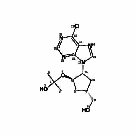 CC(C)(O)O[C@@H]1C[C@@H](CO)C[C@H]1n1cnc2c(Cl)ncnc21